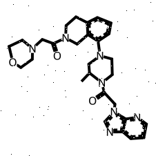 CC1CN(c2cccc3c2CN(C(=O)CN2CCOCC2)CC3)CCN1C(=O)Cn1cnc2cccnc21